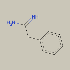 N=C(N)[CH]c1ccccc1